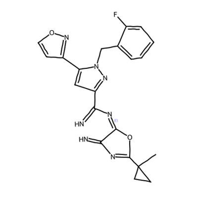 CC1(C2=NC(=N)/C(=N\C(=N)c3cc(-c4ccon4)n(Cc4ccccc4F)n3)O2)CC1